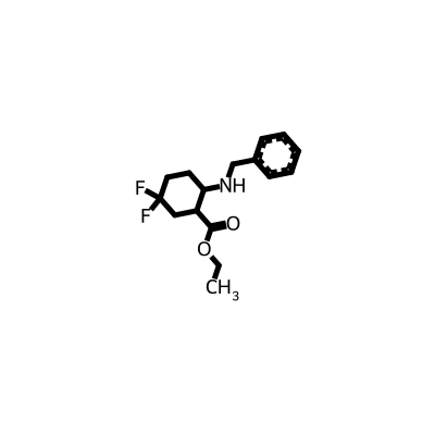 CCOC(=O)C1CC(F)(F)CCC1NCc1ccccc1